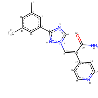 Cc1cc(-c2ncn(/C=C(\C(N)=O)c3ccncc3)n2)cc(C(F)(F)F)c1